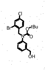 CC(C)(C)OC(=O)N(Cc1ccc(Cl)cc1Br)c1cccc(CO)c1